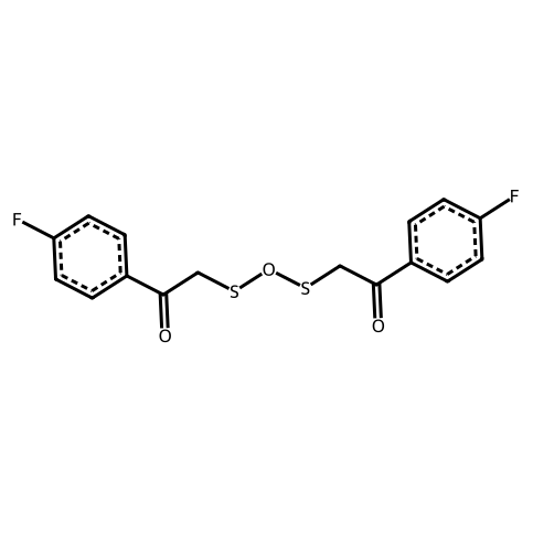 O=C(CSOSCC(=O)c1ccc(F)cc1)c1ccc(F)cc1